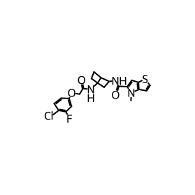 Cn1c(C(=O)NC2CC3(NC(=O)COc4ccc(Cl)c(F)c4)CCC23)cc2sccc21